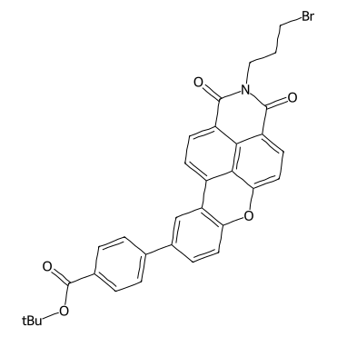 CC(C)(C)OC(=O)c1ccc(-c2ccc3oc4ccc5c(=O)n(CCCBr)c(=O)c6ccc(c3c2)c4c56)cc1